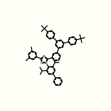 Cc1cc(C)cc(-c2nc(-c3cccc(-c4cc(-c5ccc(C(C)(C)C)cc5)cc(-c5ccc(C(C)(C)C)cc5)c4)c3)n(-c3c(C(C)C)cc(-c4ccccc4)cc3C(C)C)n2)c1